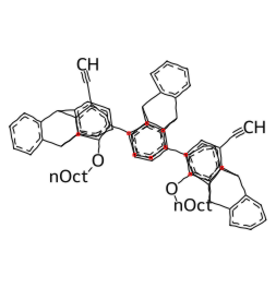 C#Cc1cc(-c2ccc(-c3cc(C#C)c4c(c3OCCCCCCCC)C3c5ccccc5C4c4ccccc43)c3c2C2c4ccccc4C3c3ccccc32)c(OCCCCCCCC)c2c1C1c3ccccc3C2c2ccccc21